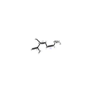 C=C(F)/C(C)=C\C=C/N